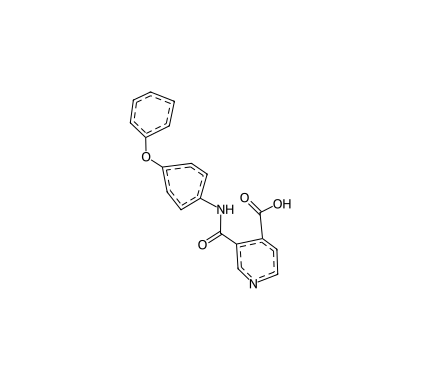 O=C(O)c1ccncc1C(=O)Nc1ccc(Oc2ccccc2)cc1